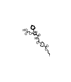 CCCCOC(=O)N1CCN(C(=O)CNC(=O)c2cc(OCC(=O)O)n(-c3ccccc3)n2)CC1